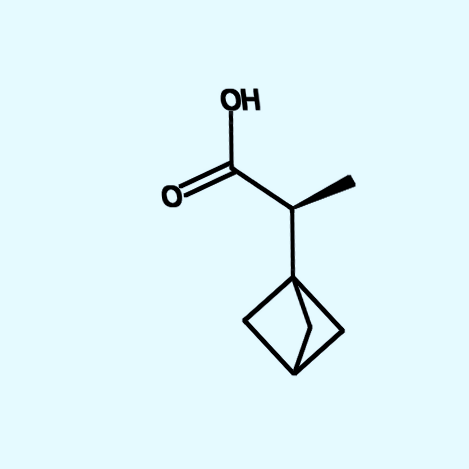 C[C@H](C(=O)O)C12CC(C1)C2